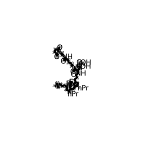 CCCC1=CC(CCC(=O)NC(COP(=O)(O)O)C(=O)NCCCCC(=O)NCCN2C(=O)C=CC2=O)=[N+]2C1=Cc1c(CCC)cc(CCC[N+](C)(C)C)n1[B-]2(F)F